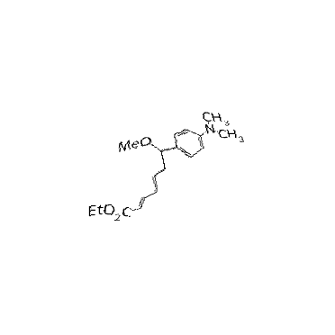 CCOC(=O)C=CC=CCC(OC)c1ccc(N(C)C)cc1